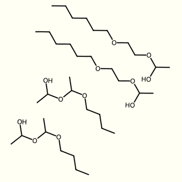 CCCCCCOCCOC(C)O.CCCCCCOCCOC(C)O.CCCCOC(C)OC(C)O.CCCCOC(C)OC(C)O